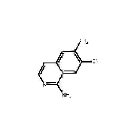 Cc1cc2ccnc(N)c2cc1C#N